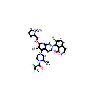 C=C(F)C(=O)N1CCN(c2c(C#N)c(OCC3CCCN3C)nc3c2CCN(c2c(F)ccc4cc[nH]c(=O)c24)C3)CC1C